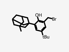 CC12CC3CC(C1)CC(c1cc(C(C)(C)C)cc(CBr)c1O)(C3)C2